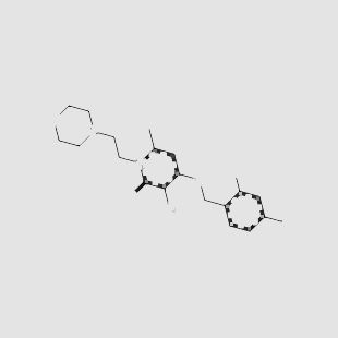 Cc1cc(OCc2ccc(F)cc2F)c(Br)c(=O)n1CCN1CCOCC1